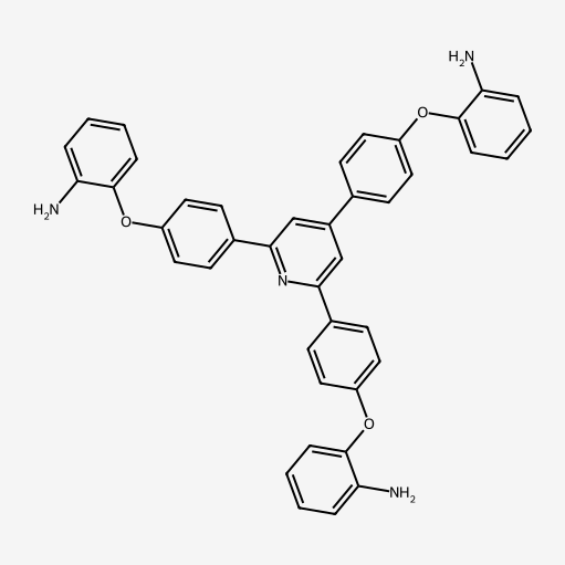 Nc1ccccc1Oc1ccc(-c2cc(-c3ccc(Oc4ccccc4N)cc3)nc(-c3ccc(Oc4ccccc4N)cc3)c2)cc1